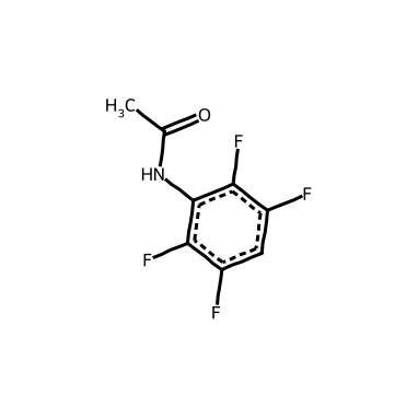 CC(=O)Nc1c(F)c(F)cc(F)c1F